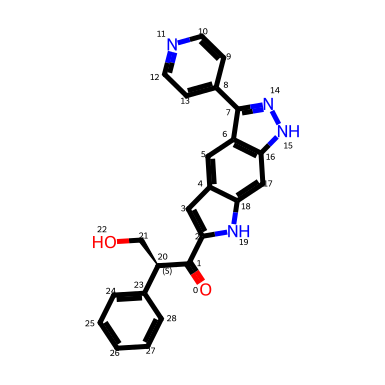 O=C(c1cc2cc3c(-c4ccncc4)n[nH]c3cc2[nH]1)[C@H](CO)c1ccccc1